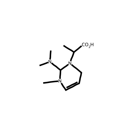 CC(C(=O)O)N1CC=CN(C)C1N(C)C